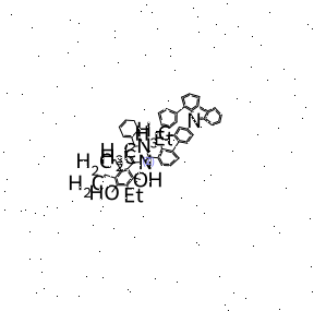 C=Cc1c(O)c(CC)c(O)c(C(=C)/N=C(\NC(C)C2=CC=CCC2)c2cccc(-c3ccc(-n4c5ccccc5c5cccc(-c6ccccc6)c54)cc3C)c2CC)c1C=C